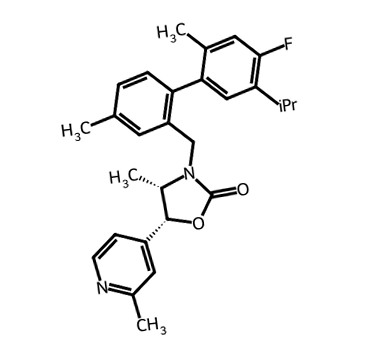 Cc1ccc(-c2cc(C(C)C)c(F)cc2C)c(CN2C(=O)O[C@H](c3ccnc(C)c3)[C@@H]2C)c1